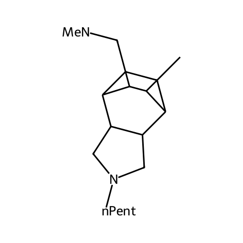 CCCCCN1CC2C3CCC(C(CNC)C3C)C2C1